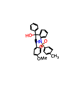 COc1ccc(C#CC(O)(c2ccccc2)c2ccccc2NS(=O)(=O)c2ccc(C)cc2)cc1